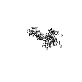 CC(C)(C)[C@H](NC(=O)C(F)(F)F)C(=O)N1C[C@H]2[C@H]([C@H]1C(=O)N[C@H](C#N)CC1C(=O)Nc3c(Cl)cccc31)C2(C)C